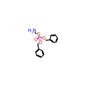 NCOP(=O)(OCc1ccccc1)OCc1ccccc1